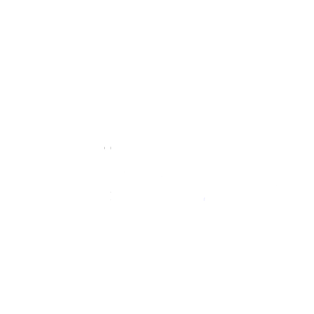 O=C(/C=C/C=C/c1ccccc1)OCc1ccccc1